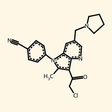 Cc1c(C(=O)CCl)c2ncc(CN3CCCC3)cc2n1-c1ccc(C#N)cc1